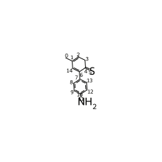 CC1=CCC(=S)C(c2ccc(N)cc2)=C1